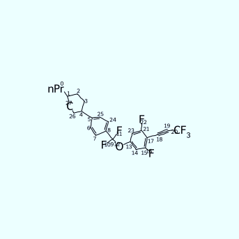 CCCC1CCC(c2ccc(C(F)(F)Oc3cc(F)c(C#CC(F)(F)F)c(F)c3)cc2)CC1